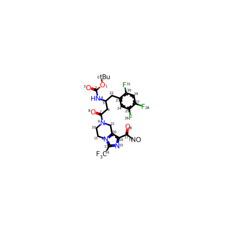 CC(C)(C)OC(=O)NC(CC(=O)N1CCn2c(C(F)(F)F)nc(C(=O)N=O)c2C1)Cc1cc(F)c(F)cc1F